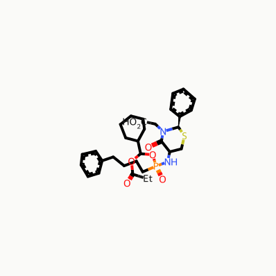 CCC(=O)OC(OP(=O)(CCCCc1ccccc1)NC1CS[C@H](c2ccccc2)N(CC(=O)O)C1=O)C1CCCCC1